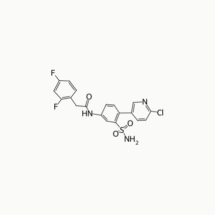 NS(=O)(=O)c1cc(NC(=O)Cc2ccc(F)cc2F)ccc1-c1ccc(Cl)nc1